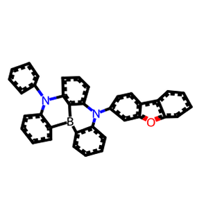 c1ccc(N2c3ccccc3B3c4ccccc4N(c4ccc5c(c4)oc4ccccc45)c4cccc2c43)cc1